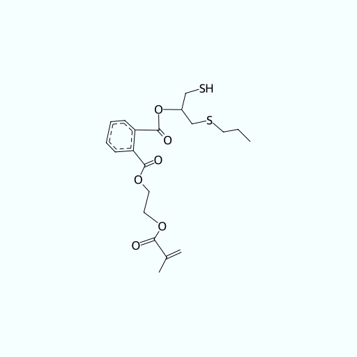 C=C(C)C(=O)OCCOC(=O)c1ccccc1C(=O)OC(CS)CSCCC